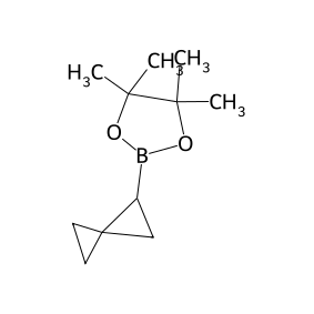 CC1(C)OB(C2CC23CC3)OC1(C)C